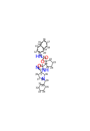 N#CC1(NC(=O)C2(OC(=O)Nc3ccc4ccccc4c3)CCCCC2)CCN(CC2CCCCC2)C1